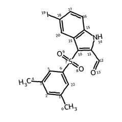 Cc1cc(C)cc(S(=O)(=O)c2c(C=O)[nH]c3ccc(I)cc23)c1